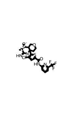 CN1C(=N)NC2(c3sc(C(=O)Nc4cccc(C(F)(F)F)n4)cc3Cl)CCOCC2[S+]1[O-]